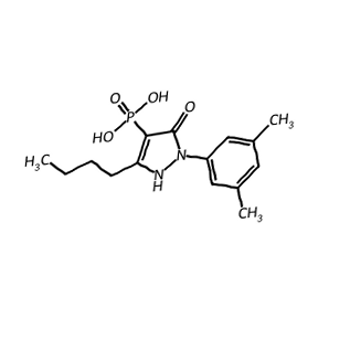 CCCCc1[nH]n(-c2cc(C)cc(C)c2)c(=O)c1P(=O)(O)O